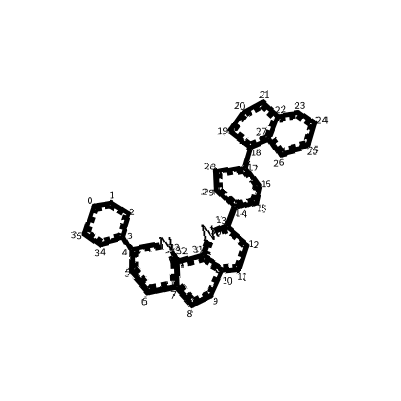 c1ccc(-c2ccc3ccc4ccc(-c5ccc(-c6cccc7ccccc67)cc5)nc4c3n2)cc1